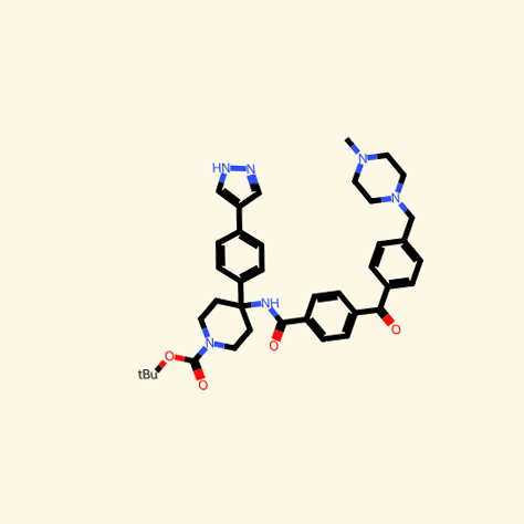 CN1CCN(Cc2ccc(C(=O)c3ccc(C(=O)NC4(c5ccc(-c6cn[nH]c6)cc5)CCN(C(=O)OC(C)(C)C)CC4)cc3)cc2)CC1